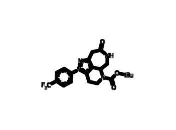 CC(C)(C)OC(=O)N1CCc2c3c(nn2-c2ccc(C(F)(F)F)cc2)CC(=O)NCC31